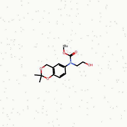 CC(C)(C)OC(=O)N(CCO)c1ccc2c(c1)COC(C)(C)O2